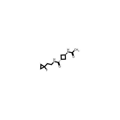 CC(=O)N[C@H]1C[C@H](C(=O)NCCC2(F)CC2)C1